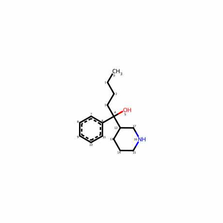 CCCCC(O)(c1ccccc1)C1CCCNC1